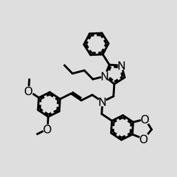 CCCCn1c(CN(CC=Cc2cc(OC)cc(OC)c2)Cc2ccc3c(c2)OCO3)cnc1-c1ccccc1